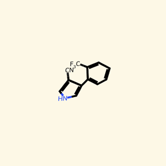 N#Cc1c[nH]cc1-c1ccccc1C(F)(F)F